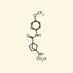 O=C(O)NC12CCC(C(=O)Nc3ccc(OC(F)(F)F)cn3)(C1)C2